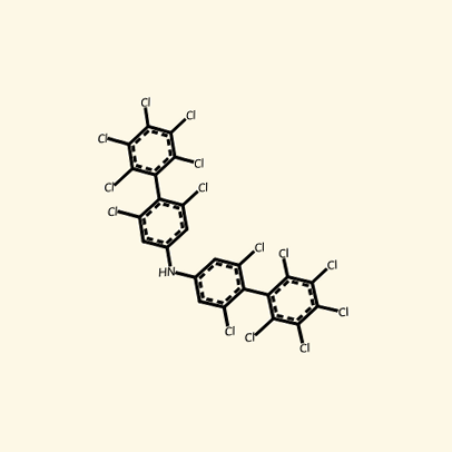 Clc1cc(Nc2cc(Cl)c(-c3c(Cl)c(Cl)c(Cl)c(Cl)c3Cl)c(Cl)c2)cc(Cl)c1-c1c(Cl)c(Cl)c(Cl)c(Cl)c1Cl